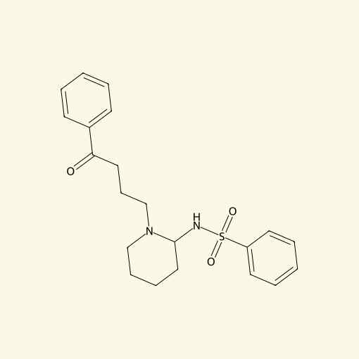 O=C(CCCN1CCCCC1NS(=O)(=O)c1ccccc1)c1ccccc1